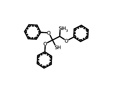 [SiH3]C(Oc1ccccc1)C(S)(Oc1ccccc1)Oc1ccccc1